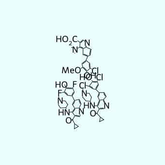 CN1CCC(Nc2c(C(=O)C3CC3)cnc3ccc(-c4cc(Cl)c(O)c(Cl)c4)cc23)CC1.CN1CCC(Nc2c(C(=O)C3CC3)cnc3ccc(-c4cc(F)c(O)c(F)c4)cc23)CC1.COc1cc(-c2ccc3ncc(C(=O)O)c(N(C)C)c3c2)cc(Cl)c1O